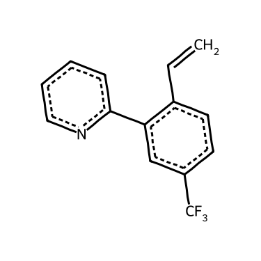 C=Cc1ccc(C(F)(F)F)cc1-c1ccccn1